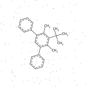 Cc1c(-c2ccccc2)cc(-c2ccccc2)c(C)c1C(C)(C)C